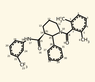 Cc1cccc(C)c1C(=O)N1CCC[C@H](C(=O)Nc2cccc(C(F)(F)F)c2)C1c1ccccc1